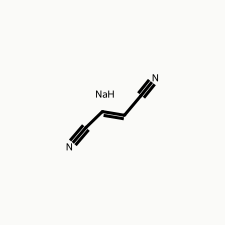 N#CC=CC#N.[NaH]